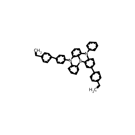 C=Cc1ccc(-c2ccc(N3c4ccccc4B4c5cc(-c6ccc(C=C)cc6)ccc5N(c5ccccc5)c5cccc3c54)cc2)cc1